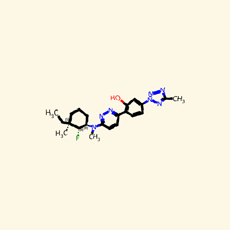 CC[C@@]1(C)CCC[C@@H](N(C)c2ccc(-c3ccc(-n4nnc(C)n4)cc3O)nn2)[C@@H]1F